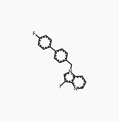 Fc1ccc(-c2ccc(Cn3cc(I)c4ncccc43)cc2)cc1